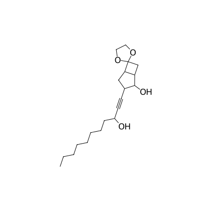 CCCCCCCCC(O)C#CC1CC2C(CC23OCCO3)C1O